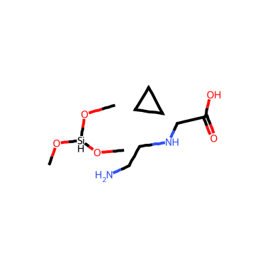 C1CC1.CO[SiH](OC)OC.NCCNCC(=O)O